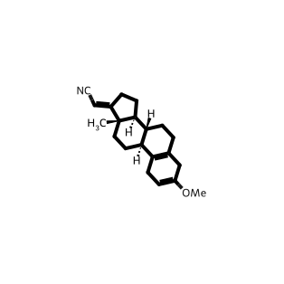 COC1=CCC2=C(CC[C@@H]3[C@@H]2CC[C@]2(C)/C(=C/C#N)CC[C@@H]32)C1